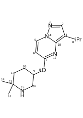 CC(C)c1cnn2ccc(OC3CCC(C)(C)NC3)nc12